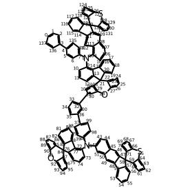 c1ccc(-c2ccc(N(c3cccc4c3-c3ccccc3C43c4ccccc4Oc4cc(-c5cccc(-c6ccc(N(c7ccc8cc9c(cc8c7)-c7ccccc7C97c8ccccc8Sc8ccccc87)c7cccc8c7-c7ccccc7C87c8ccccc8Oc8ccccc87)cc6)c5)ccc43)c3cccc4cc5c(cc34)-c3ccccc3C53c4ccccc4Sc4ccccc43)cc2)cc1